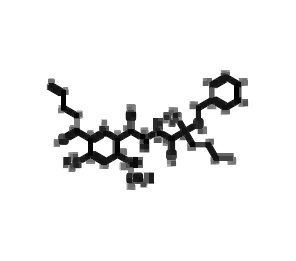 C=CCCC(=O)c1nc(C(=O)NNC(=O)C(CCC=C)(OCc2ccccc2)C(F)(F)F)c(NC(=O)O)cc1C(F)(F)F